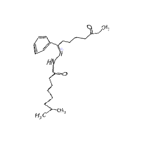 CCC(=O)CCCC/C(=N/NC(=O)CCCCCC(C)C)c1ccccc1